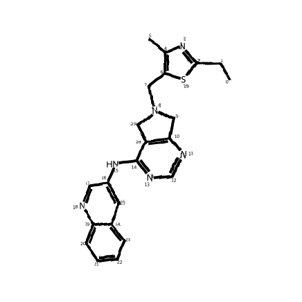 CCc1nc(C)c(CN2Cc3ncnc(Nc4cnc5ccccc5c4)c3C2)s1